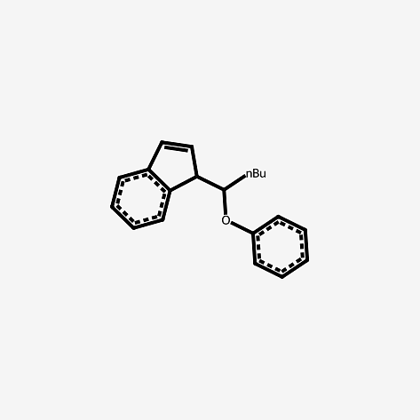 CCCCC(Oc1ccccc1)C1C=Cc2ccccc21